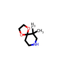 CC1(C)CNCCC12OCCO2